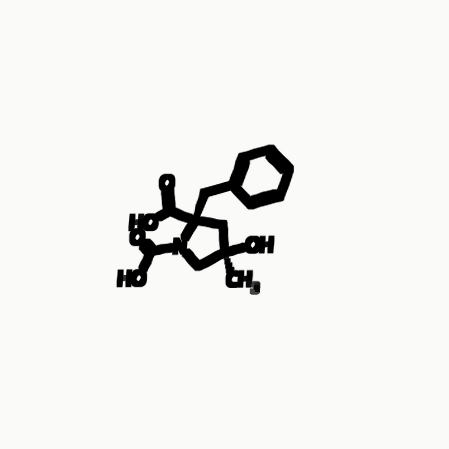 C[C@]1(O)CN(C(=O)O)[C@](Cc2ccccc2)(C(=O)O)C1